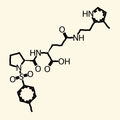 Cc1ccc(S(=O)(=O)N2CCC[C@H]2C(=O)N[C@@H](CCC(=O)NCCc2[nH]ccc2C)C(=O)O)cc1